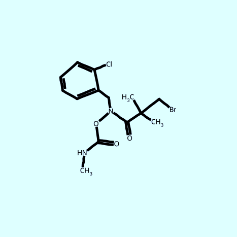 CNC(=O)ON(Cc1ccccc1Cl)C(=O)C(C)(C)CBr